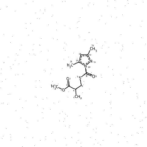 COC(=O)C(C)CSC(=O)n1nc(C)cc1C